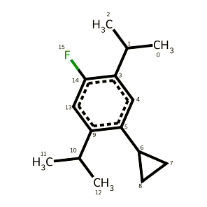 CC(C)c1cc(C2CC2)c(C(C)C)cc1F